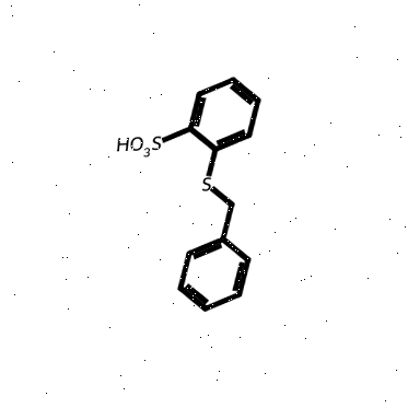 O=S(=O)(O)c1ccccc1SCc1ccccc1